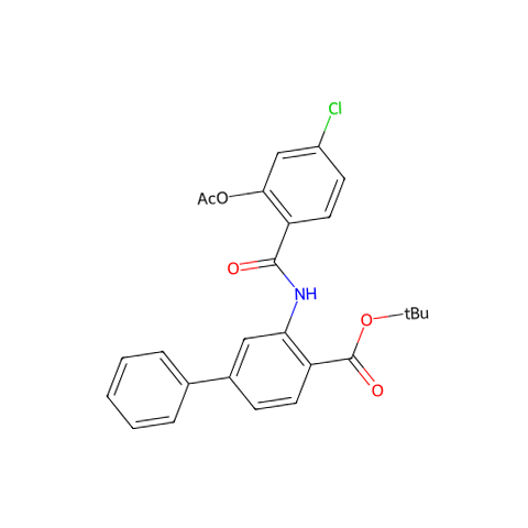 CC(=O)Oc1cc(Cl)ccc1C(=O)Nc1cc(-c2ccccc2)ccc1C(=O)OC(C)(C)C